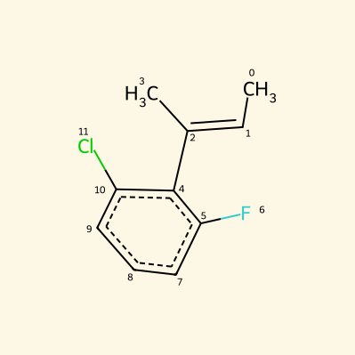 C/C=C(\C)c1c(F)cccc1Cl